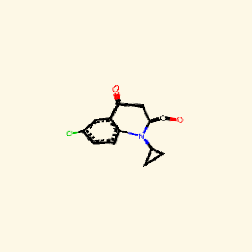 O=C=C1CC(=O)c2cc(Cl)ccc2N1C1CC1